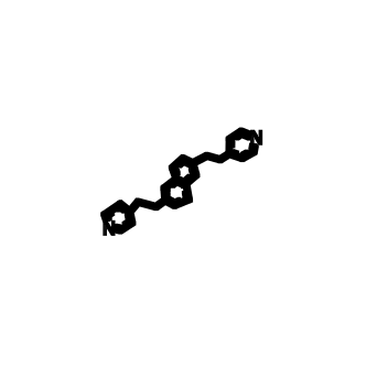 c1cc(CCc2ccc3cc(CCc4ccncc4)ccc3c2)ccn1